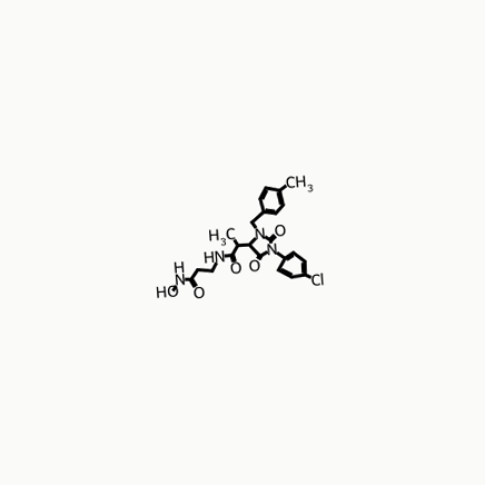 Cc1ccc(CN2C(=O)N(c3ccc(Cl)cc3)C(=O)C2C(C)C(=O)NCCC(=O)NO)cc1